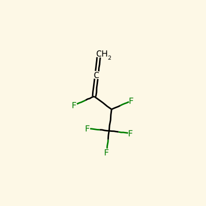 C=C=C(F)C(F)C(F)(F)F